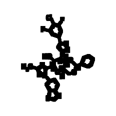 Cc1nc([C@@H]2O[C@@H]3CO[C@H](c4ccccc4)O[C@@H]3[C@H](n3cc(-c4cc(F)c(Cl)c(F)c4)nn3)[C@H]2O)n(-c2ccc3ncsc3c2)n1